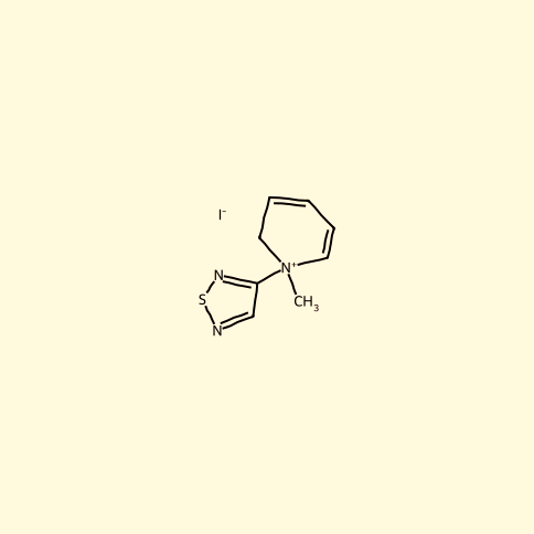 C[N+]1(c2cnsn2)C=CC=CC1.[I-]